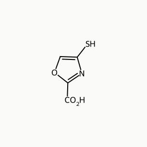 O=C(O)c1nc(S)co1